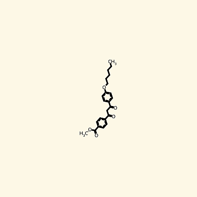 CCCCCCOc1ccc(C(=O)CC(=O)c2ccc(C(=O)OC)cc2)cc1